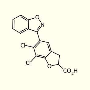 O=C(O)C1Cc2cc(-c3noc4ccccc34)c(Cl)c(Cl)c2O1